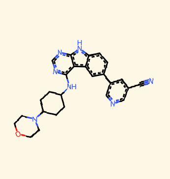 N#Cc1cncc(-c2ccc3[nH]c4ncnc(NC5CCC(N6CCOCC6)CC5)c4c3c2)c1